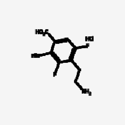 CCCCc1c(C(=O)O)cc(F)c(CCN)c1F.Cl